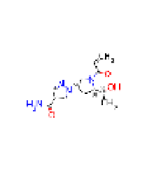 C=CC(=O)N1C[C@@H](n2cc(C(N)=O)cn2)C[C@@H]1[C@H](C)O